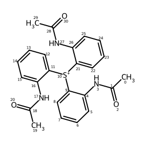 CC(=O)Nc1ccccc1[S+](c1ccccc1NC(C)=O)c1ccccc1NC(C)=O